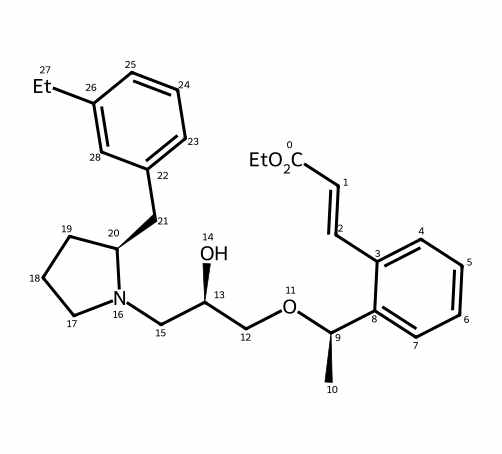 CCOC(=O)/C=C/c1ccccc1[C@@H](C)OC[C@H](O)CN1CCC[C@H]1Cc1cccc(CC)c1